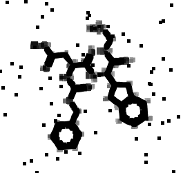 COC(=O)C[C@H](NC(=O)OCc1ccccc1)C(=O)N[C@H](C(=O)NCC(=O)O)C1Cc2ccccc2C1